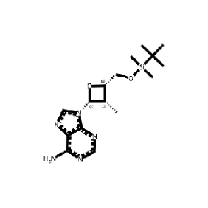 C[C@@H]1[C@H](n2cnc3c(N)ncnc32)O[C@@H]1CO[Si](C)(C)C(C)(C)C